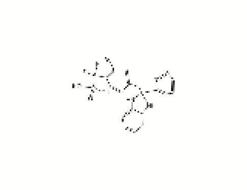 O=P(O)(O)C(F)(F)c1ccc(CC2(c3ccccn3)Nc3ccccc3N2)cc1Br